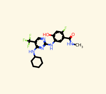 CNC(=O)c1cc(Nc2ncc(C(F)(F)F)c(NC3CCCCC3)n2)c(O)cc1F